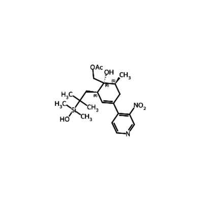 CC(=O)OC[C@@]1(O)[C@@H](C)CC(c2ccncc2[N+](=O)[O-])=C[C@H]1CC(C)(C)[Si](C)(C)O